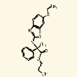 CCCOC(=O)C(C)(Sc1nc2ccc(OCC)cc2s1)c1ccccc1